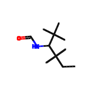 CCC(C)(C)C(NC=O)C(C)(C)C